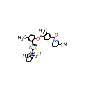 Cc1ccc(OCc2ccc(C(=O)N3CCCC(C#N)C3)cc2C)c(-c2csc(N3CC4CC[C@@H](C3)[C@H]4C(=O)O)n2)c1